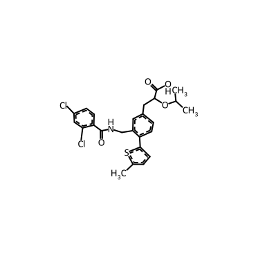 Cc1ccc(-c2ccc(CC(OC(C)C)C(=O)O)cc2CNC(=O)c2ccc(Cl)cc2Cl)s1